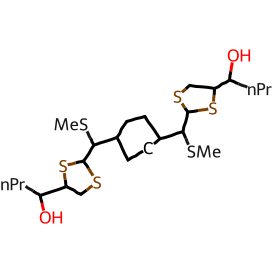 CCCC(O)C1CSC(C(SC)C2CCC(C(SC)C3SCC(C(O)CCC)S3)CC2)S1